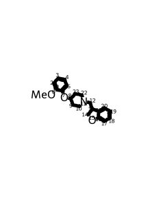 COc1ccccc1OC1CCN(CC2COc3ccccc32)CC1